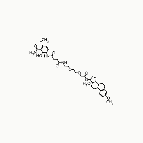 COc1ccc2c(c1)CCC1C2CCC2(C)C(OC(=O)COCCOCCNC(=O)CCC(=O)Nc3ccc(OC)c(C(N)=O)c3O)CCC12